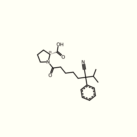 CC(C)C(C#N)(CCCCC(=O)N1CCC[C@@H]1C(=O)O)c1ccccc1